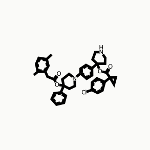 Cc1ccc(C)c(CC(=O)OC2(c3ccccc3)CCN(c3ccc(C4(OC(=O)C5(c6ccc(Cl)cc6)CC5)CCNCC4)cc3)CC2)c1